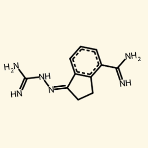 N=C(N)N/N=C1/CCc2c(C(=N)N)cccc21